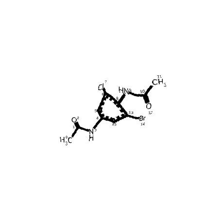 CC(=O)Nc1cc(Cl)c(NC(C)=O)c(Br)c1